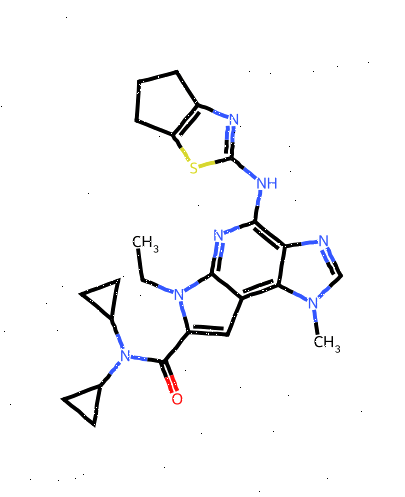 CCn1c(C(=O)N(C2CC2)C2CC2)cc2c3c(ncn3C)c(Nc3nc4c(s3)CCC4)nc21